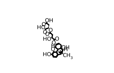 CN1CC[C@]23c4c5ccc(O)c4O[C@H]2C(OC(=O)[C@@H](O)CC(=O)O[C@H](CC(=O)O)C(=O)O)=CC[C@@]3(O)[C@H]1C5